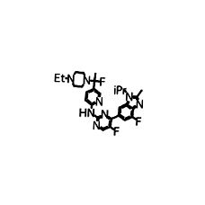 CCN1CCN(C(C)(F)c2ccc(Nc3ncc(F)c(-c4cc(F)c5nc(C)n(C(C)C)c5c4)n3)nc2)CC1